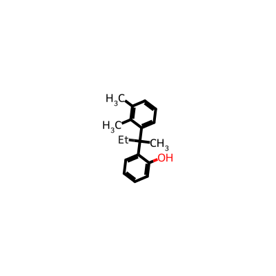 CCC(C)(c1ccccc1O)c1cccc(C)c1C